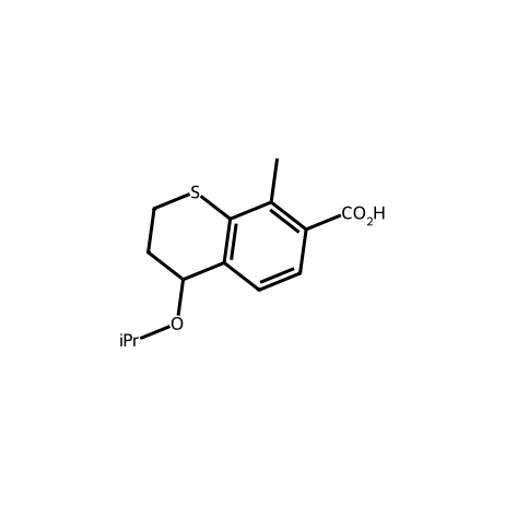 Cc1c(C(=O)O)ccc2c1SCCC2OC(C)C